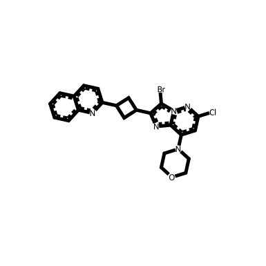 Clc1cc(N2CCOCC2)c2nc(C3CC(c4ccc5ccccc5n4)C3)c(Br)n2n1